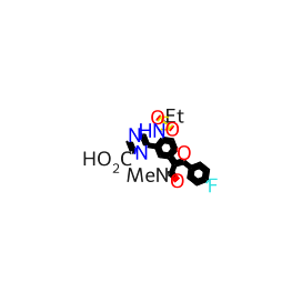 CCS(=O)(=O)Nc1cc2oc(-c3ccc(F)cc3)c(C(=O)NC)c2cc1-c1cncc(C(=O)O)n1